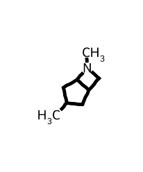 CC1CC2CN(C)C2C1